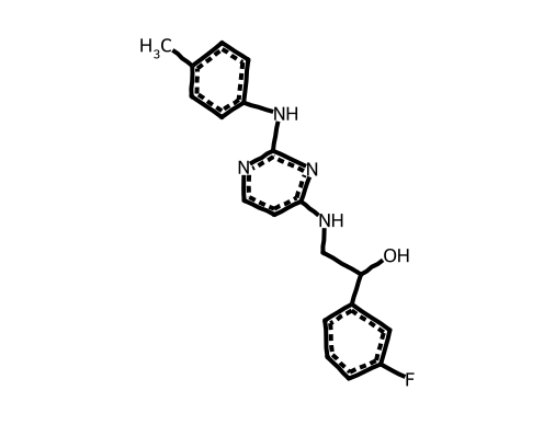 Cc1ccc(Nc2nccc(NCC(O)c3cccc(F)c3)n2)cc1